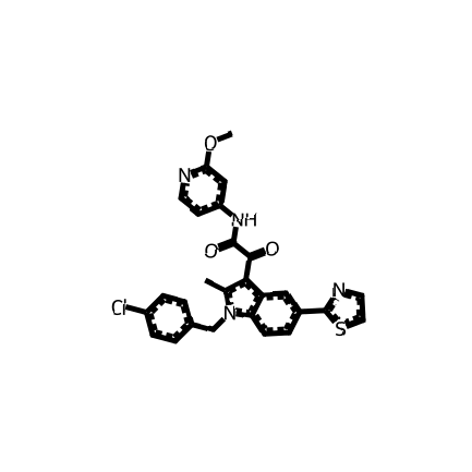 COc1cc(NC(=O)C(=O)c2c(C)n(Cc3ccc(Cl)cc3)c3ccc(-c4nccs4)cc23)ccn1